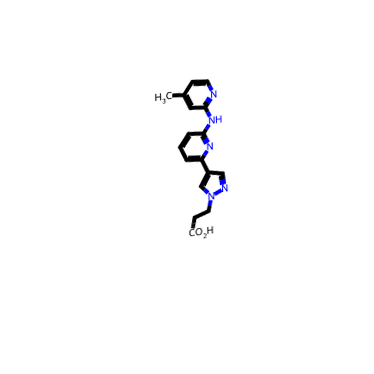 Cc1ccnc(Nc2cccc(-c3cnn(CCC(=O)O)c3)n2)c1